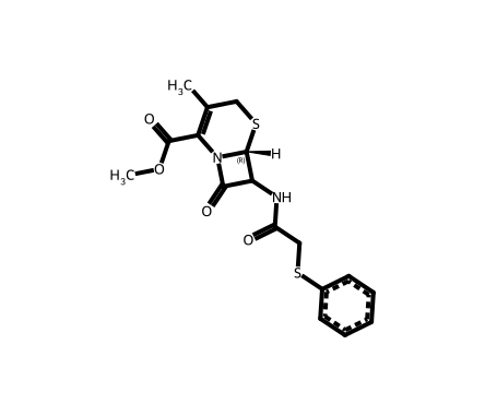 COC(=O)C1=C(C)CS[C@@H]2C(NC(=O)CSc3ccccc3)C(=O)N12